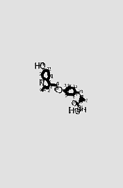 Cc1cc(COc2ccc(C[C@@H]3C[C@@H]3C(=O)NO)cc2)c2ccc(O)cc2n1